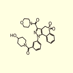 O=C(c1cccc(-n2nc(C(=O)N3CCOCC3)c3c2-c2ccccc2S(=O)(=O)C3)c1)N1CCC(O)CC1